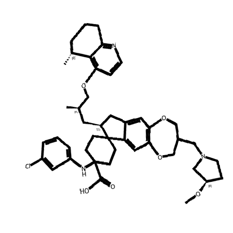 CO[C@@H]1CCN(CC2COc3cc4c(cc3OC2)C2(CCC(Nc3cccc(Cl)c3)(C(=O)O)CC2)[C@@H](C[C@@H](C)COc2ccnc3c2[C@H](C)CCC3)C4)C1